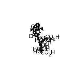 O=C(O)[C@@H](O)[C@@H](O)[C@H](O)[C@@H](O)CN(CCCCc1cc(Cl)c(CNC2(C(=O)N3CCN(C4CC4)c4ccccc43)CC2)cc1Cl)C[C@H](O)[C@@H](O)[C@H](O)[C@H](O)C(=O)O